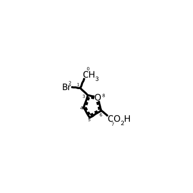 CC(Br)c1ccc(C(=O)O)o1